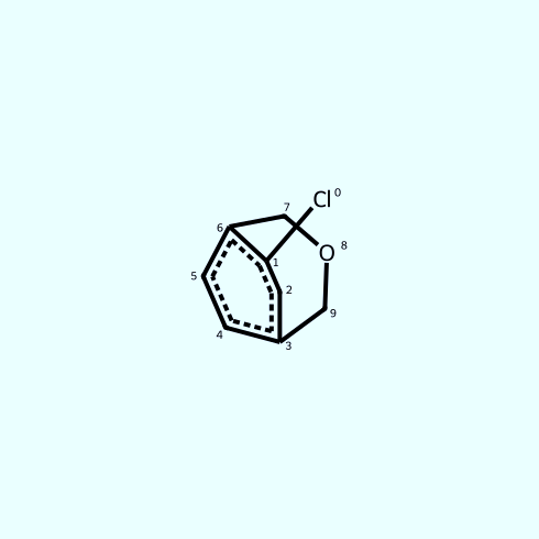 Clc1cc2ccc1COC2